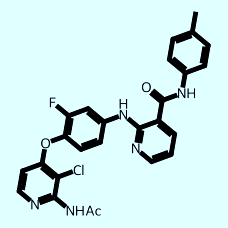 CC(=O)Nc1nccc(Oc2ccc(Nc3ncccc3C(=O)Nc3ccc(C)cc3)cc2F)c1Cl